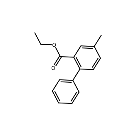 CCOC(=O)c1cc(C)ccc1-c1ccccc1